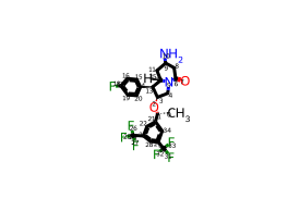 C[C@@H](O[C@H]1CN2C(=O)CC(N)C[C@H]2[C@@H]1c1ccc(F)cc1)c1cc(C(F)(F)F)cc(C(F)(F)F)c1